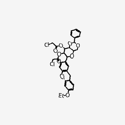 CCOc1ccc(Cc2cc(C3OC4COC(c5ccccc5)OC4C(OC(=O)CCl)C3OC(=O)CCl)ccc2Cl)cc1